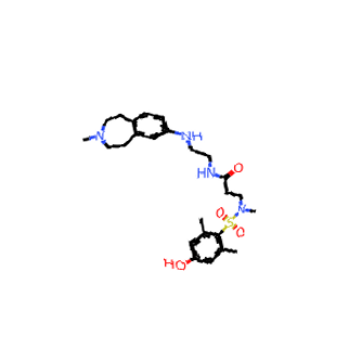 Cc1cc(O)cc(C)c1S(=O)(=O)N(C)CCC(=O)NCCNc1ccc2c(c1)CCN(C)CC2